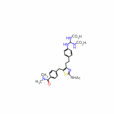 CC(=O)Nc1nc(CCc2ccc(NC(NC(=O)O)NC(=O)O)cc2)c(Cc2ccc(C(=O)N(C)C)cc2)s1